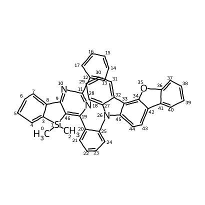 C[Si]1(C)c2ccccc2-c2nc(-c3ccccc3)nc(-c3ccccc3-n3c4ccccc4c4c5oc6ccccc6c5ccc43)c21